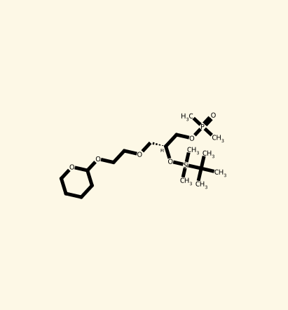 CC(C)(C)[Si](C)(C)O[C@H](COCCOC1CCCCO1)COP(C)(C)=O